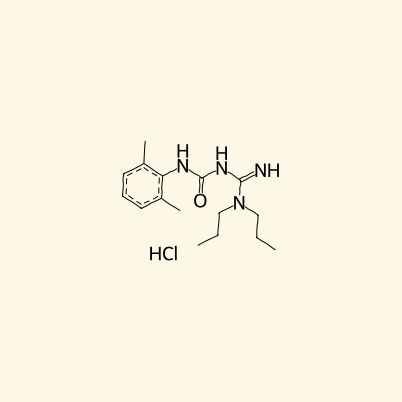 CCCN(CCC)C(=N)NC(=O)Nc1c(C)cccc1C.Cl